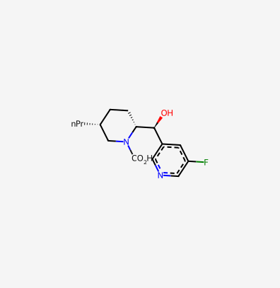 CCC[C@@H]1CC[C@H]([C@@H](O)c2cncc(F)c2)N(C(=O)O)C1